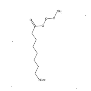 CCCCCCCCCCCCCCCCCC(=O)OOOC(C)(C)C